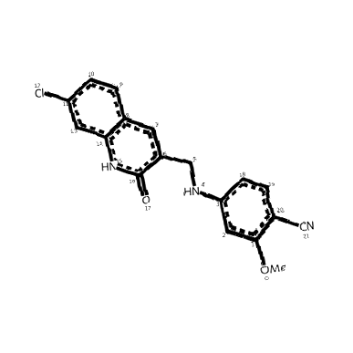 COc1cc(NCc2cc3ccc(Cl)cc3[nH]c2=O)ccc1C#N